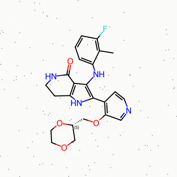 Cc1c(F)cccc1Nc1c(-c2ccncc2OC[C@@H]2COCCO2)[nH]c2c1C(=O)NCC2